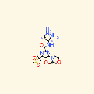 C[C@@H]1COC[C@@]2(C)COc3c(nc(C(=O)NC(/C=C\N)=C/N)nc3C(C)(C)S(C)(=O)=O)N12